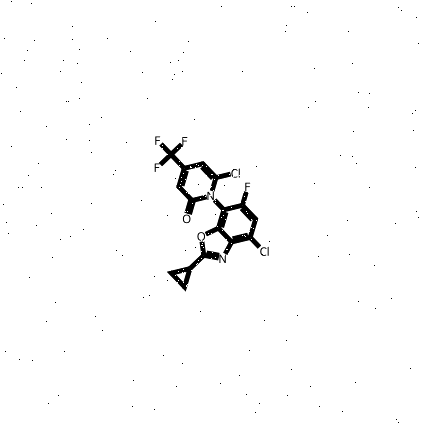 O=c1cc(C(F)(F)F)cc(Cl)n1-c1c(F)cc(Cl)c2nc(C3CC3)oc12